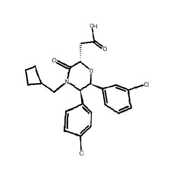 O=C(O)C[C@@H]1O[C@@H](c2cccc(Cl)c2)[C@@H](c2ccc(Cl)cc2)N(CC2CCC2)C1=O